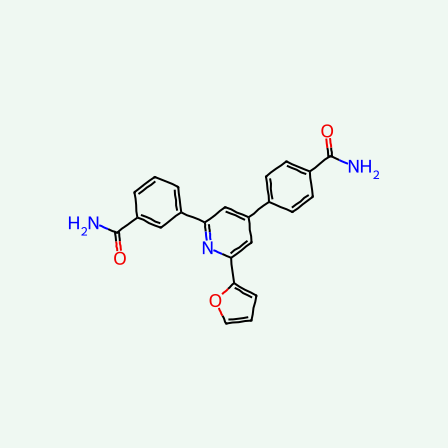 NC(=O)c1ccc(-c2cc(-c3cccc(C(N)=O)c3)nc(-c3ccco3)c2)cc1